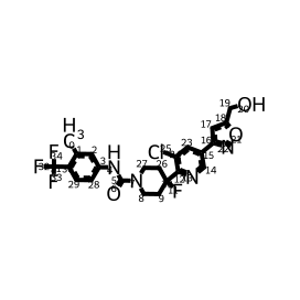 Cc1cc(NC(=O)N2CCC(F)(c3ncc(-c4cc(CO)on4)cc3Cl)CC2)ccc1C(F)(F)F